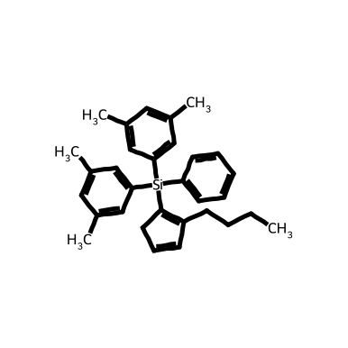 CCCCC1=C([Si](c2ccccc2)(c2cc(C)cc(C)c2)c2cc(C)cc(C)c2)CC=C1